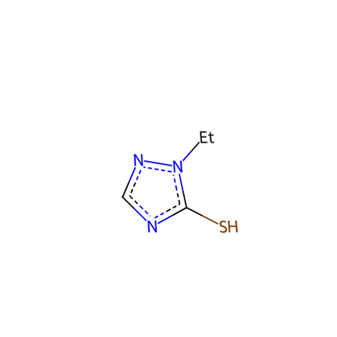 CCn1ncnc1S